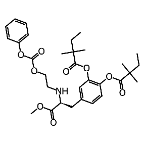 CCC(C)(C)C(=O)Oc1ccc(C[C@H](NCCOC(=O)Oc2ccccc2)C(=O)OC)cc1OC(=O)C(C)(C)CC